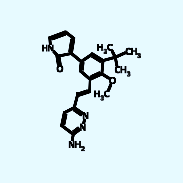 COc1c(C=Cc2ccc(N)nn2)cc(-c2ccc[nH]c2=O)cc1C(C)(C)C